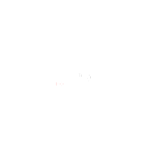 CCO.[Ti].[Zr]